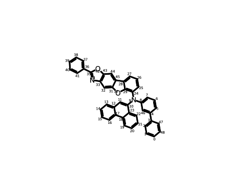 c1ccc(-c2cccc(N(c3cc4ccccc4c4ccccc34)c3cccc4c3oc3cc5nc(-c6ccccc6)oc5cc34)c2)cc1